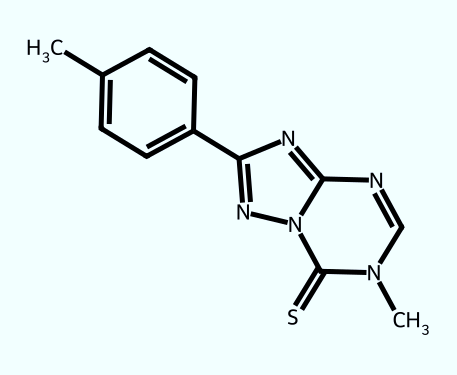 Cc1ccc(-c2nc3ncn(C)c(=S)n3n2)cc1